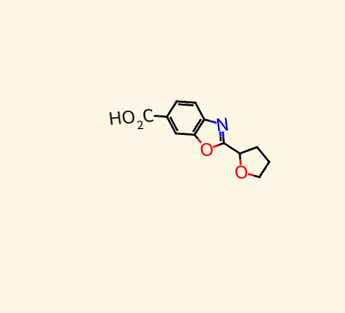 O=C(O)c1ccc2nc(C3CCCO3)oc2c1